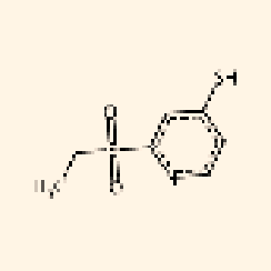 CCS(=O)(=O)c1cc(S)ccn1